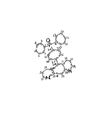 O=P(c1ccccc1)(c1ccccc1)c1ccc(-c2c3cccnc3cc3ncccc23)cc1